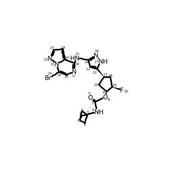 O=C(NC12CC(C1)C2)O[C@H]1C[C@@H](c2cc(Nc3ncc(Br)n4nccc34)n[nH]2)C[C@H]1F